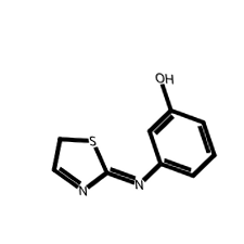 Oc1cccc(N=C2N=CCS2)c1